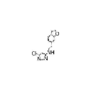 Clc1cc(NCCc2ccc3ccoc3c2)ncn1